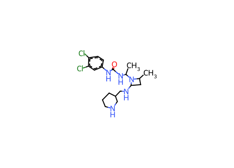 CC1CC(NCC2CCCNC2)N1C(C)NC(=O)Nc1ccc(Cl)c(Cl)c1